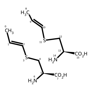 CC=CSC[C@H](N)C(=O)O.CC=CSC[C@H](N)C(=O)O